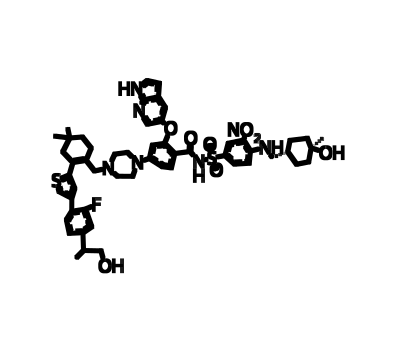 CC(CO)c1ccc(-c2csc(C3=C(CN4CCN(c5ccc(C(=O)NS(=O)(=O)c6ccc(NC[C@H]7CC[C@](C)(O)CC7)c([N+](=O)[O-])c6)c(Oc6cnc7[nH]ccc7c6)c5)CC4)CCC(C)(C)C3)c2)c(F)c1